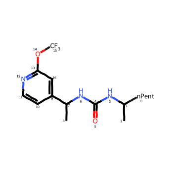 CCCCCC(C)NC(=O)NC(C)c1ccnc(OC(F)(F)F)c1